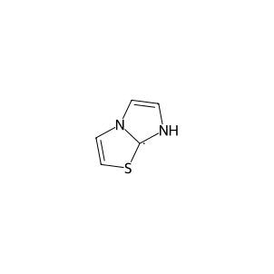 C1=CN2C=CS[C]2N1